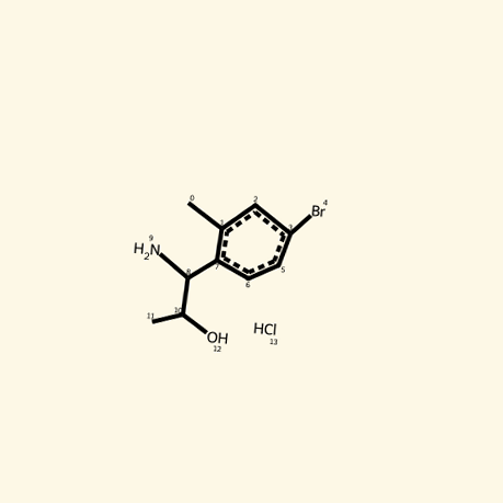 Cc1cc(Br)ccc1C(N)C(C)O.Cl